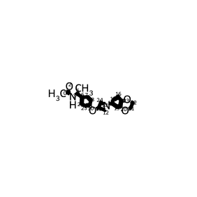 CC(=O)NC(C)c1ccc(OC2CN(c3ccc4c(c3)OCCO4)C2)cc1